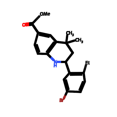 CCc1ccc(Br)cc1C1CC(C)(C)c2cc(C(=O)OC)ccc2N1